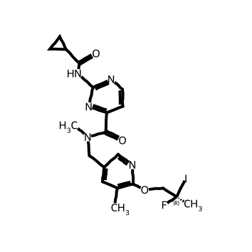 Cc1cc(CN(C)C(=O)c2ccnc(NC(=O)C3CC3)n2)cnc1OC[C@](C)(F)I